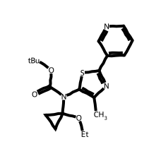 CCOC1(N(C(=O)OC(C)(C)C)c2sc(-c3cccnc3)nc2C)CC1